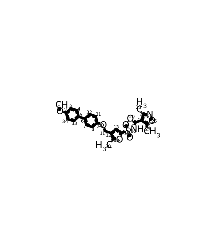 COc1ccc(-c2ccc(OCc3cc(S(=O)(=O)NC(=O)c4c(C)noc4C)oc3C)cc2)cc1